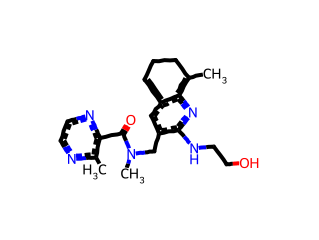 CC1=c2nc(NCCO)c(CN(C)C(=O)c3nccnc3C)cc2=CCC1